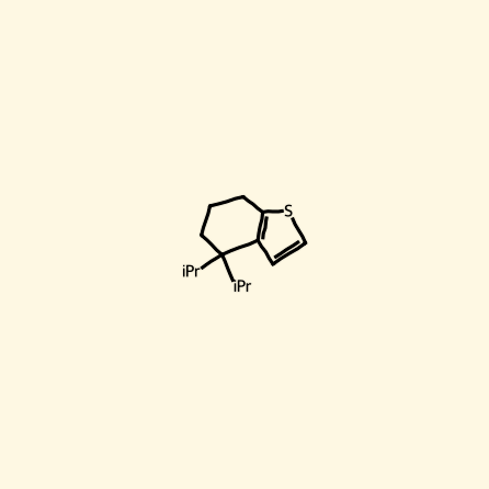 CC(C)C1(C(C)C)CCCc2sccc21